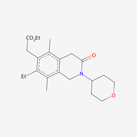 CCOC(=O)Cc1c(C)c2c(c(C)c1CC)CN(C1CCOCC1)C(=O)C2